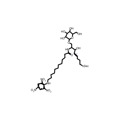 CCCCCCCCCCCCC/C=C/C(O)C(COC1OC(CO)C(O)C(O)C1O)NC(=O)CCCCCCCCCCCNc1c([N+](=O)[O-])cc([N+](=O)[O-])cc1[N+](=O)[O-]